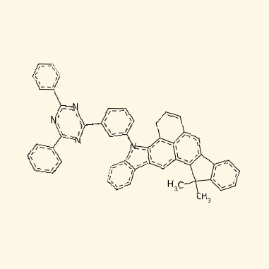 CC1(C)c2ccccc2-c2cc3c4c(c5c(cc4c21)c1ccccc1n5-c1cccc(-c2nc(-c4ccccc4)nc(-c4ccccc4)n2)c1)CC=C3